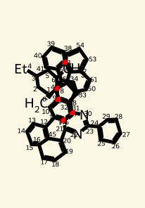 C=C1CC(CC)CC(C)C12c1cc(-c3cccc4cccc(-c5nc(-c6ccccc6)nc(-c6ccc(-c7ccccc7)cc6)n5)c34)ccc1-c1ccc3ccccc3c12